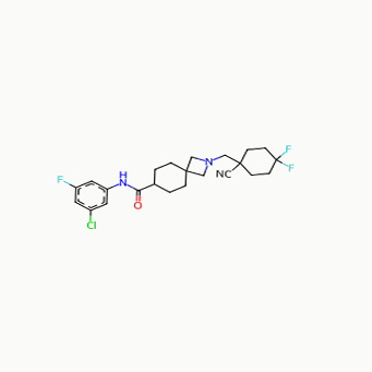 N#CC1(CN2CC3(CCC(C(=O)Nc4cc(F)cc(Cl)c4)CC3)C2)CCC(F)(F)CC1